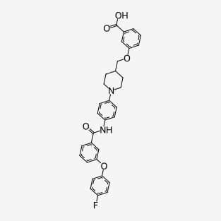 O=C(O)c1cccc(OCC2CCN(c3ccc(NC(=O)c4cccc(Oc5ccc(F)cc5)c4)cc3)CC2)c1